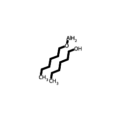 CCCCCCO.CCCCCC[O][AlH2]